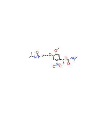 COc1cc(C(C)OC(=O)NC(C)C)c([N+](=O)[O-])cc1OCCCC(=O)NC(C)C